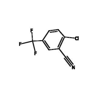 N#Cc1cc(C(F)(F)F)ccc1Cl